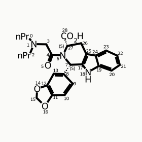 CCCN(CCC)CC(=O)N1[C@@H](c2ccc3c(c2)OCO3)c2[nH]c3ccccc3c2C[C@H]1C(=O)O